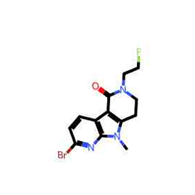 Cn1c2c(c3ccc(Br)nc31)C(=O)N(CCF)CC2